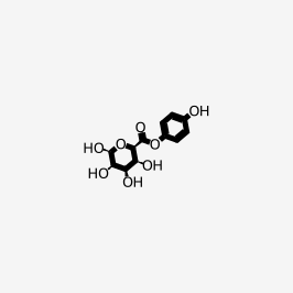 O=C(Oc1ccc(O)cc1)[C@@H]1O[C@@H](O)[C@@H](O)[C@H](O)[C@H]1O